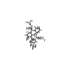 NC(=O)c1cc(C(F)(F)F)nn1-c1cc(C(NCC2CC2)c2cccnc2)ccc1F